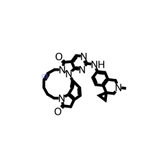 CN1Cc2cc(Nc3ncc4c(=O)n5n(c4n3)-c3ccc4c(c3)N(CCC/C=C\C5)C(=O)C4)ccc2C2(CC2)C1